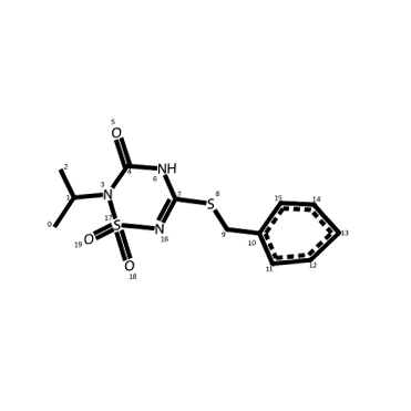 CC(C)N1C(=O)NC(SCc2ccccc2)=NS1(=O)=O